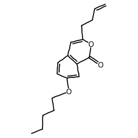 C=CCCc1cc2ccc(OCCCCC)cc2c(=O)o1